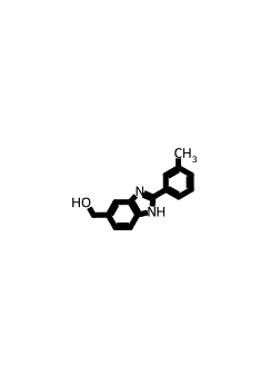 Cc1cccc(-c2nc3cc(CO)ccc3[nH]2)c1